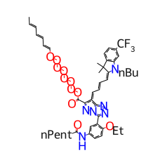 C/C=C/C=C/C=C/OOOOOOOOC(=O)c1nn2c(-c3cc(NC(=O)CCCCC)ccc3OCC)nnc2\c1=C/C=C/C=C1/N(CCCC)c2cc(C(F)(F)F)ccc2C1(C)C